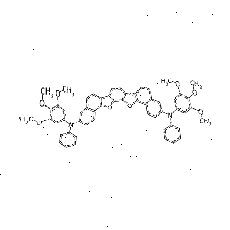 COc1cc(N(c2ccccc2)c2ccc3c(ccc4c5ccc6c7ccc8cc(N(c9ccccc9)c9cc(OC)c(OC)c(OC)c9)ccc8c7oc6c5oc34)c2)cc(OC)c1OC